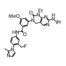 CCN1C(=O)N(c2cc(OC)cc(C(=O)Nc3ccc(-n4ccnc4C)c(CF)c3)c2)Cc2cnc(NC(C)C)nc21